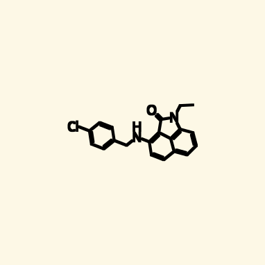 CCN1C(=O)c2c(NCc3ccc(Cl)cc3)ccc3cccc1c23